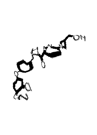 N#Cc1ccc(O[C@H]2CC[C@H](NC(=O)c3ccc(N4CC(CO)C4)nn3)CC2)cc1Cl